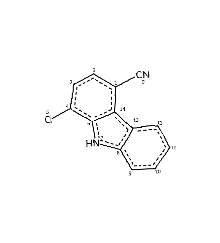 N#Cc1ccc(Cl)c2[nH]c3ccccc3c12